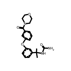 CC(C)(NC(N)=O)c1cccc(Oc2cccc(C(=O)N3CCOCC3)c2)c1